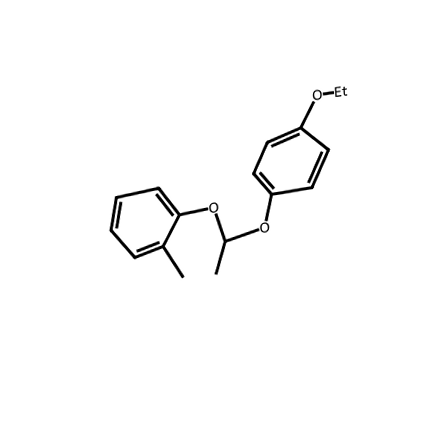 CCOc1ccc(OC(C)Oc2ccccc2C)cc1